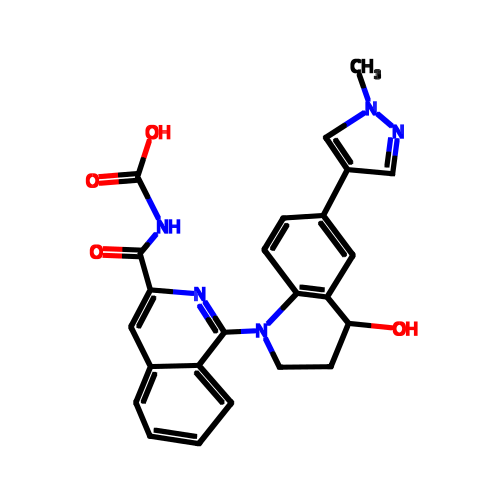 Cn1cc(-c2ccc3c(c2)C(O)CCN3c2nc(C(=O)NC(=O)O)cc3ccccc23)cn1